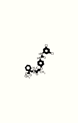 COC(=O)C1(CNC(=O)C(C)(C)Oc2ccc(NC(=O)Nc3cc(Cl)cc(Cl)c3)cc2)CCCCC1